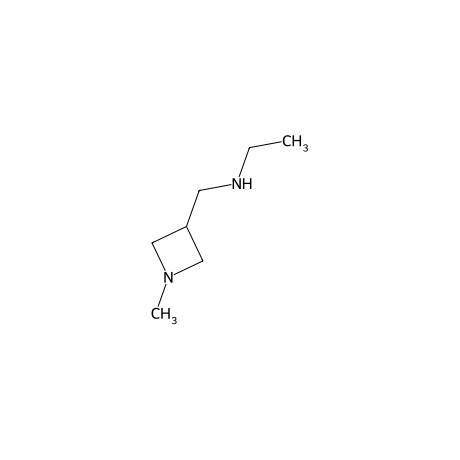 CCNCC1CN(C)C1